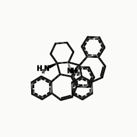 N[C@@]1(C2c3ccccc3C=Cc3ccccc32)CCCC[C@@]1(N)C1c2ccccc2C=Cc2ccccc21